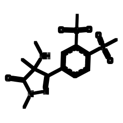 CNC1(C)C(=O)N(C)N=C1c1ccc(S(C)(=O)=O)c(S(C)(=O)=O)c1